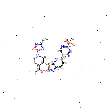 CC(C)c1noc(N2CCC([C@H](C)Oc3nc4ccc(-c5cnc(S(C)(=O)=O)nc5)nc4s3)CC2)n1